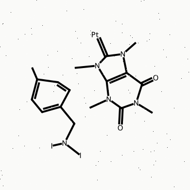 Cc1ccc(CN(I)I)cc1.Cn1c(=O)c2c(n(C)c1=O)n(C)[c](=[Pt])n2C